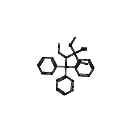 CCC(C(O)(OC)OC)C(c1ccccc1)(c1ccccc1)c1ccccc1